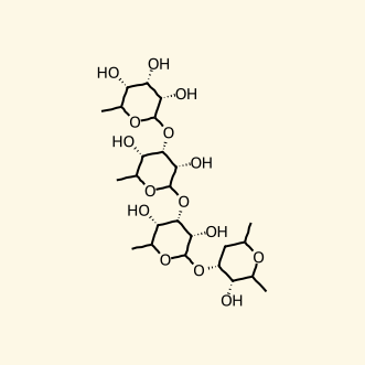 CC1C[C@@H](OC2OC(C)[C@H](O)[C@H](OC3OC(C)[C@H](O)[C@H](OC4OC(C)[C@H](O)[C@H](O)[C@@H]4O)[C@@H]3O)[C@@H]2O)[C@@H](O)C(C)O1